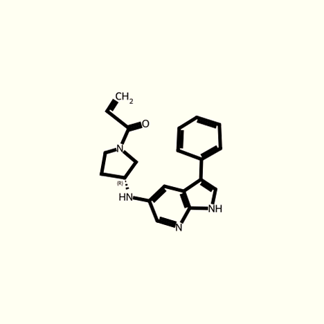 C=CC(=O)N1CC[C@@H](Nc2cnc3[nH]cc(-c4ccccc4)c3c2)C1